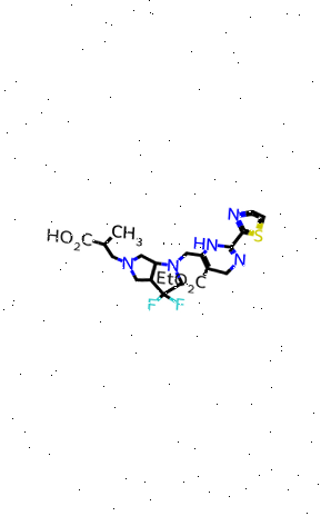 CCOC(=O)C1=C(CN2CC(F)(F)C3CN(CC(C)C(=O)O)CC32)NC(c2nccs2)=NC1